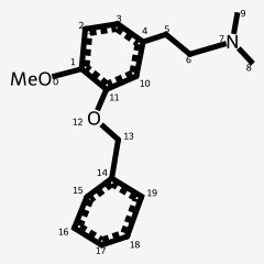 COc1ccc(CCN(C)C)cc1OCc1ccccc1